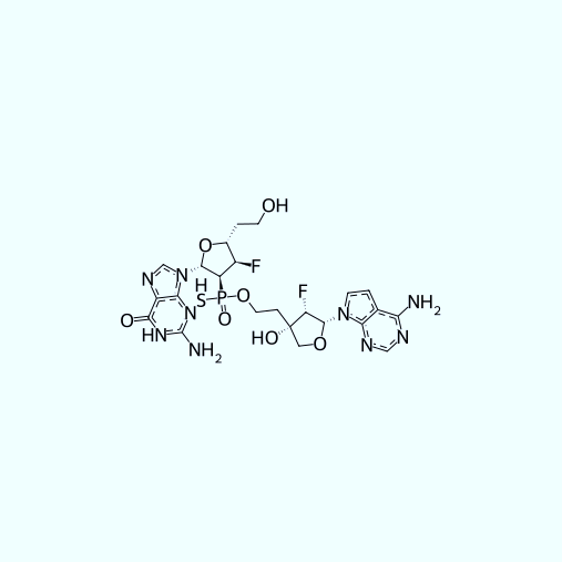 Nc1nc2c(ncn2[C@@H]2O[C@H](CCO)[C@@H](F)[C@H]2P(=O)(S)OCC[C@]2(O)CO[C@@H](n3ccc4c(N)ncnc43)[C@H]2F)c(=O)[nH]1